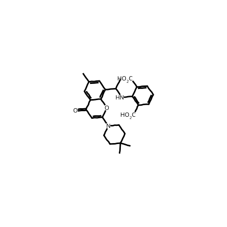 Cc1cc(C(C)Nc2c(C(=O)O)cccc2C(=O)O)c2oc(N3CCC(C)(C)CC3)cc(=O)c2c1